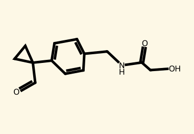 O=CC1(c2ccc(CNC(=O)CO)cc2)CC1